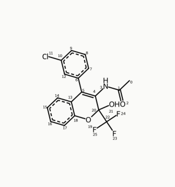 CC(=O)NC1=C(c2cccc(Cl)c2)c2ccccc2OC1(O)C(F)(F)F